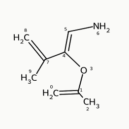 C=C(C)O/C(=C\N)C(=C)C